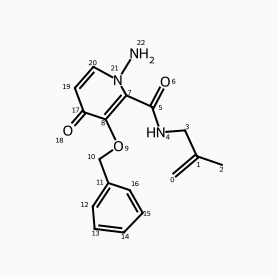 C=C(C)CNC(=O)c1c(OCc2ccccc2)c(=O)ccn1N